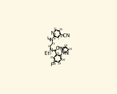 CCN(CCN(C)c1cc(C#N)ccn1)C(=O)c1cc(F)ccc1-n1nccn1